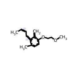 C=c1c(OCCOC)ccc(C)/c1=C/C=C\C